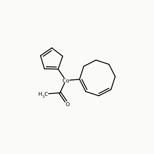 C[C](=O)[Co]([C]1=CC=CC1)[C]1=CC=CCCCC1